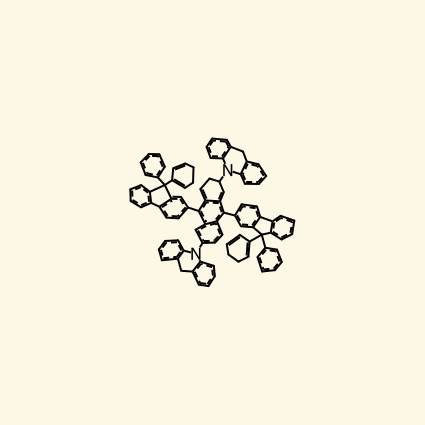 C1=CC(C2(c3ccccc3)c3ccccc3-c3ccc(-c4c5c(c(-c6ccc7c(c6)C(C6=CCCC=C6)(c6ccccc6)c6ccccc6-7)c6cc(N7c8ccccc8Cc8ccccc87)ccc46)=CCC(N4c6ccccc6Cc6ccccc64)C=5)cc32)=CCC1